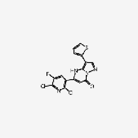 O=c1cc(-c2cc(F)c(Cl)nc2Cl)[nH]c2c(-c3cccs3)cnn12